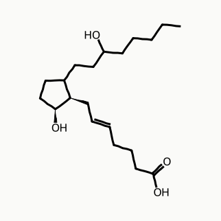 CCCCCC(O)CCC1CC[C@H](O)[C@@H]1CC=CCCCC(=O)O